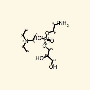 CCN(CC)CC.NCCOP(=O)(O)OCC(O)CO